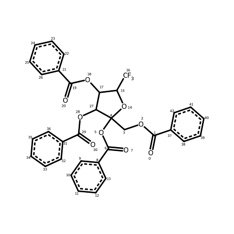 O=C(OCC1(OC(=O)c2ccccc2)OC(C(F)(F)F)C(OC(=O)c2ccccc2)C1OC(=O)c1ccccc1)c1ccccc1